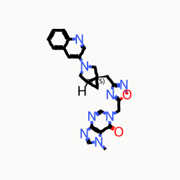 Cn1cnc2ncn(Cc3nc(C[C@@]45C[C@H]4CN(c4cnc6ccccc6c4)C5)no3)c(=O)c21